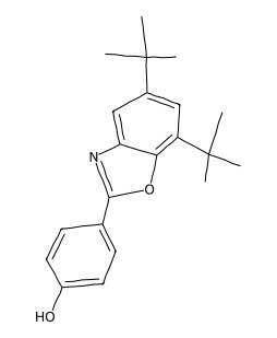 CC(C)(C)c1cc(C(C)(C)C)c2oc(-c3ccc(O)cc3)nc2c1